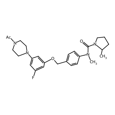 CC(=O)N1CCN(c2cc(F)cc(OCc3ccc(N(C)C(=O)N4CCCC4C)cc3)c2)CC1